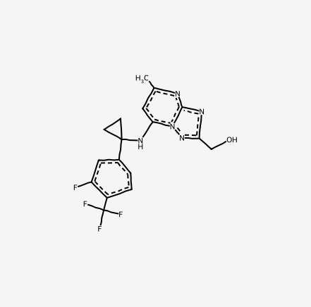 Cc1cc(NC2(c3ccc(C(F)(F)F)c(F)c3)CC2)n2nc(CO)nc2n1